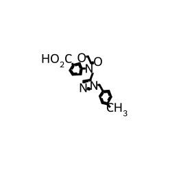 Cc1ccc(Cn2cncc2CN2C(=O)COc3c(C(=O)O)cccc32)cc1